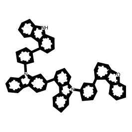 c1cc(-c2cccc3[nH]c4ccccc4c23)cc(-n2c3ccccc3c3ccc(-c4cccc5c4c4ccccc4n5-c4cccc(-c5cccc6oc7ccccc7c56)c4)cc32)c1